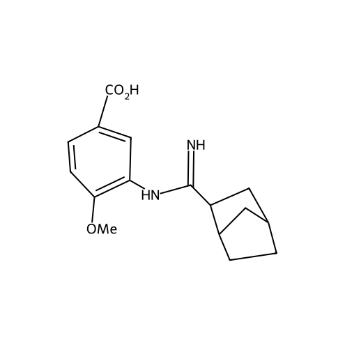 COc1ccc(C(=O)O)cc1NC(=N)C1CC2CCC1C2